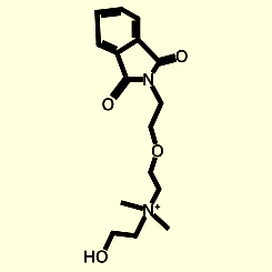 C[N+](C)(CCO)CCOCCN1C(=O)c2ccccc2C1=O